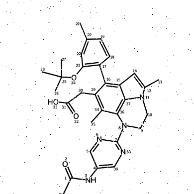 CC(=O)Nc1cnc(N2CCn3c(C)cc4c(-c5ccc(C)cc5OC(C)(C)C)c(CC(=O)O)c(C)c2c43)nc1